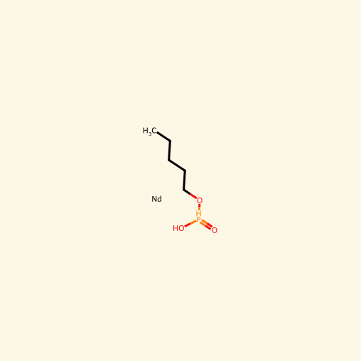 CCCCCO[PH](=O)O.[Nd]